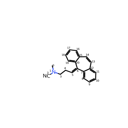 CN(C#N)CCC=C1c2ccccc2C=Cc2ccccc21